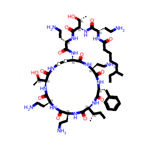 CCC(C)CCCCC(=O)N[C@@H](CCN)C(=O)N[C@H](C(=O)N[C@@H](CCN)C(=O)N[C@H]1CCNC(=O)[C@H]([C@@H](C)O)NC(=O)[C@H](CCN)NC(=O)[C@H](CCN)NC(=O)[C@H]([C@@H](C)CC)NC(=O)[C@@H](Cc2ccccc2)NC(=O)[C@H](CCN)NC1=O)[C@@H](C)O